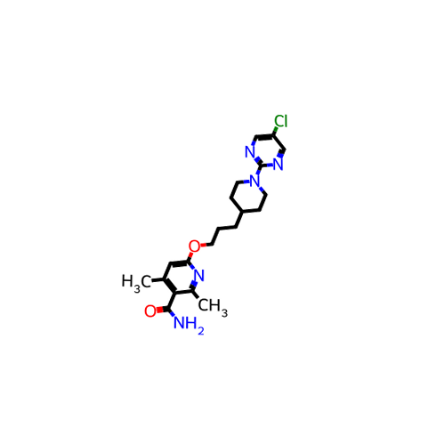 Cc1cc(OCCCC2CCN(c3ncc(Cl)cn3)CC2)nc(C)c1C(N)=O